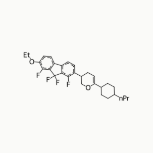 CCCC1CCC(C2=CCC(c3ccc4c(c3F)C(F)(F)c3c-4ccc(OCC)c3F)CO2)CC1